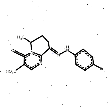 CC1CC/C(=N\Nc2ccc(Br)cc2)c2ncc(C(=O)O)c(=O)n21